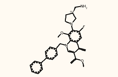 C=C(OC)C1=CN(Cc2ccc(-c3ccccc3)cc2)c2c(cc(F)c(N3CC[C@@H](CN)C3)c2OC)C1=C